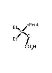 CCCCC[Si](CC)(CC)OC(=O)O